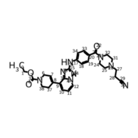 CCOC(=O)N1CC=C(c2cccn3nc(Nc4ccc(C(=O)N5CCN(CCC#N)CC5)cc4)nc23)CC1